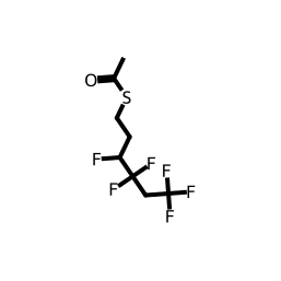 CC(=O)SCCC(F)C(F)(F)CC(F)(F)F